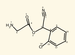 N#CC(OC(=O)CN)c1ccccc1Cl